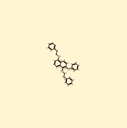 c1ccc(CCOc2cccc3c(OCCc4ccccc4)c(Oc4ccccc4)ccc23)cc1